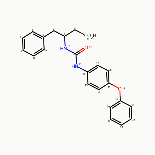 O=C(O)CC(Cc1ccccc1)NC(=O)Nc1ccc(Oc2ccccc2)cc1